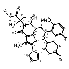 COc1ccc(F)cc1[C@H](CN1c2sc(-n3cccn3)c(C)c2C(=O)N(C(C)(C)C(=O)NC(C)C)C1O)OC1CCC(=O)CC1